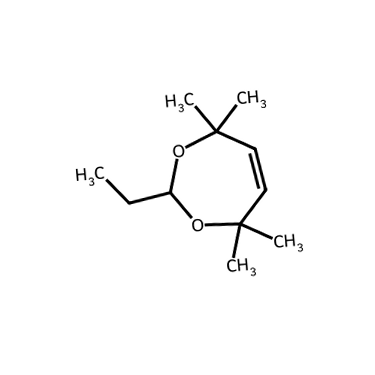 CCC1OC(C)(C)C=CC(C)(C)O1